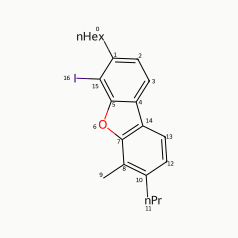 CCCCCCc1ccc2c(oc3c(C)c(CCC)ccc32)c1I